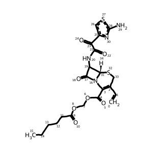 C=CC1=C(C(=O)OCOC(=O)CCCCC)N2C(=O)C(NC(=O)C(=O)c3csc(N)n3)[C@@H]2SC1